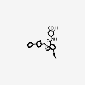 CC#Cc1ccc(C(=O)NC2CCC(C(=O)O)CC2)c2c1cnn2Cc1ccc(-c2ccccc2)cc1